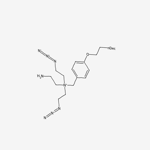 CCCCCCCCCCCCOc1ccc(C[N+](CCN)(CCN=[N+]=[N-])CCN=[N+]=[N-])cc1